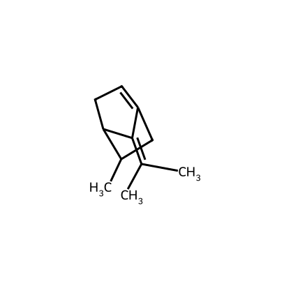 CC(C)=C1C2=CCC1C(C)C2